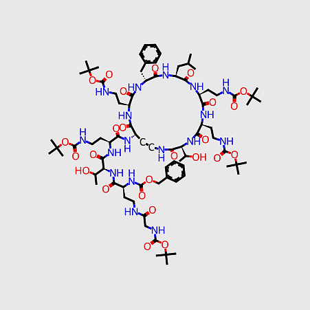 CC(C)C[C@@H]1NC(=O)[C@@H](Cc2ccccc2)NC(=O)[C@H](CCNC(=O)OC(C)(C)C)NC(=O)[C@@H](NC(=O)[C@H](CCNC(=O)OC(C)(C)C)NC(=O)[C@@H](NC(=O)[C@H](CCNC(=O)CNC(=O)OC(C)(C)C)NC(=O)OCc2ccccc2)C(C)O)CCNC(=O)[C@H](C(C)O)NC(=O)[C@H](CCNC(=O)OC(C)(C)C)NC(=O)[C@H](CCNC(=O)OC(C)(C)C)NC1=O